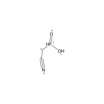 N#CC[PH](=O)O